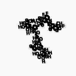 CC[C@@]1(O)C(=O)OCc2c1cc1n(c2=O)Cc2c-1nc1cc(F)c(F)c(Cl)c1c2CCN(C(=O)OCc1ccc(O[C@@H]2O[C@H](C(=O)O)[C@@H](O)[C@H](O)[C@H]2O)c(NC(=O)CCNC(=O)[C@H](CCCC(=O)N[C@@H]2O[C@H](C(=O)O)[C@@H](O)[C@H](O)[C@H]2O)NC(=O)CN2C(=O)C=CC2=O)c1)C(C)C